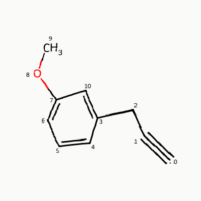 [C]#CCc1cccc(OC)c1